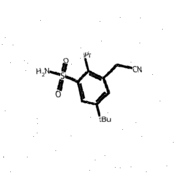 CC(C)c1c(CC#N)cc(C(C)(C)C)cc1S(N)(=O)=O